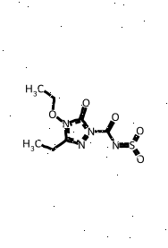 CCOn1c(CC)nn(C(=O)N=S(=O)=O)c1=O